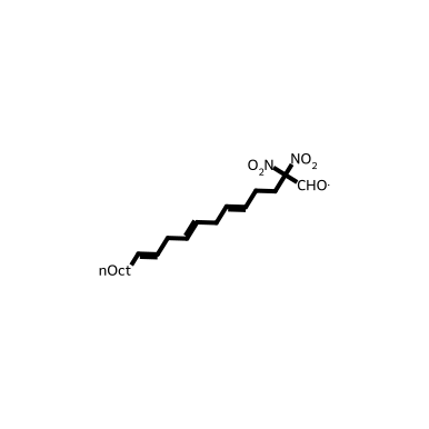 CCCCCCCC/C=C/C/C=C/C/C=C/CCC([C]=O)([N+](=O)[O-])[N+](=O)[O-]